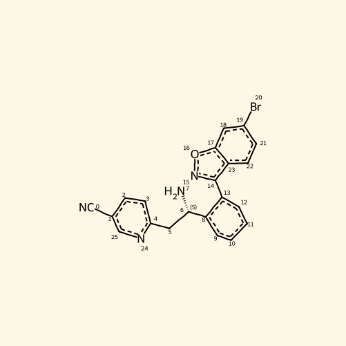 N#Cc1ccc(C[C@H](N)c2ccccc2-c2noc3cc(Br)ccc23)nc1